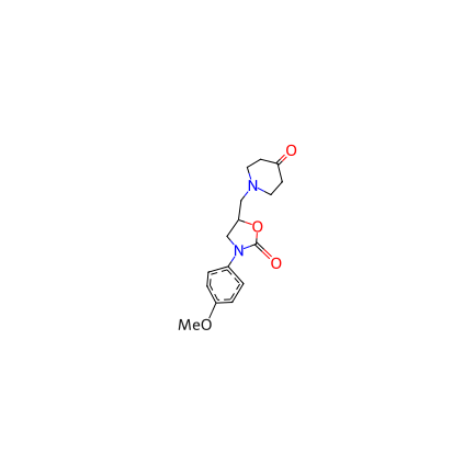 COc1ccc(N2CC(CN3CCC(=O)CC3)OC2=O)cc1